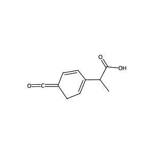 CC(C(=O)O)C1=CCC(=C=O)C=C1